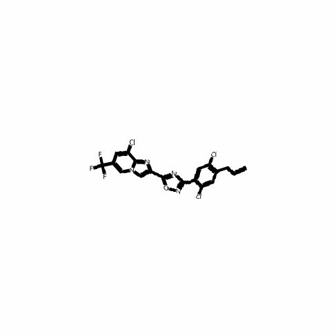 C=CCc1cc(Cl)c(-c2noc(-c3cn4cc(C(F)(F)F)cc(Cl)c4n3)n2)cc1Cl